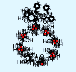 CC(=O)O[C@H]1C(=O)[C@@]2(C)[C@H]([C@H](OC(=O)c3ccccc3)[C@]3(O)C[C@H](OC(=O)[C@H](O)[C@@H](NC(=O)c4ccccc4)c4ccccc4)C(C)=C1C3(C)C)[C@]1(OC(C)=O)CO[C@@H]1C[C@@H]2O.OC[C@H]1O[C@@H]2O[C@H]3[C@H](O)[C@@H](O)[C@@H](O[C@H]4[C@H](O)[C@@H](O)[C@@H](O[C@H]5[C@H](O)[C@@H](O)[C@@H](O[C@H]6[C@H](O)[C@@H](O)[C@@H](O[C@H]7[C@H](O)[C@@H](O)[C@@H](O[C@H]8[C@H](O)[C@@H](O)[C@@H](O[C@H]9[C@H](O)[C@@H](O)[C@@H](O[C@H]1[C@H](O)[C@H]2O)O[C@@H]9CO)O[C@@H]8CO)O[C@@H]7CO)O[C@@H]6CO)O[C@@H]5CO)O[C@@H]4CO)O[C@@H]3CO